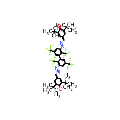 CC(C)(C)C1=CC(=C/N=N/c2cc(C(F)(F)F)cc(-c3cc(C(F)(F)F)cc(/N=N/C=C4C=C(C(C)(C)C)C(=O)C(C(C)(C)C)=C4)c3C(F)(F)F)c2C(F)(F)F)C=C(C(C)(C)C)C1=O